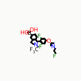 OB(O)c1ccc2c(c1)CCN(CC(F)(F)F)C2c1c(F)cc(OC2CN(CCCF)C2)cc1F